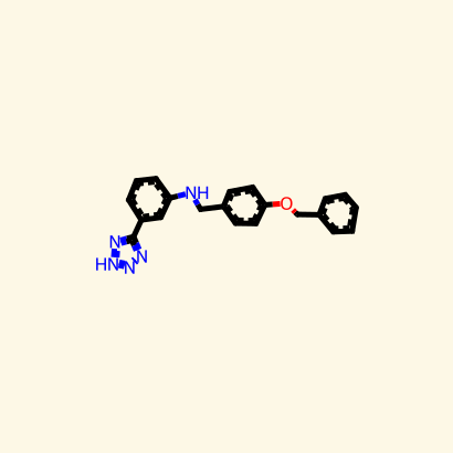 c1ccc(COc2ccc(CNc3cccc(-c4nn[nH]n4)c3)cc2)cc1